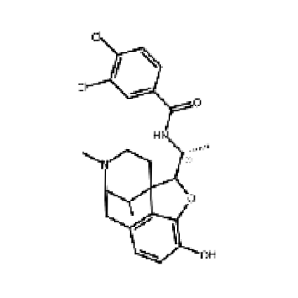 CC1C2Cc3ccc(O)c4c3C1(CCN2C)C([C@@H](C)NC(=O)c1ccc(Cl)c(Cl)c1)O4